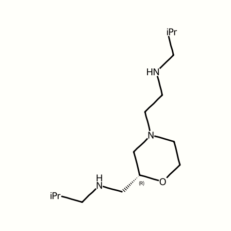 CC(C)CNCCN1CCO[C@H](CNCC(C)C)C1